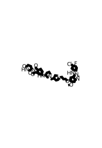 COc1cc2ncnc(Nc3ccc(F)c(Cl)c3)c2cc1OCCCN1CCC(CN2CCC[C@@H](Nc3ccc4c(c3)C(=O)N(C3CCC(=O)NC3=O)C4=O)C2)CC1